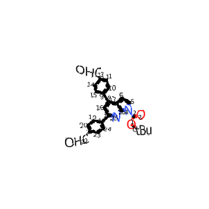 CC(C)(C)OC(=O)n1ccc2c(-c3ccc(C=O)cc3)cc(-c3ccc(C=O)cc3)nc21